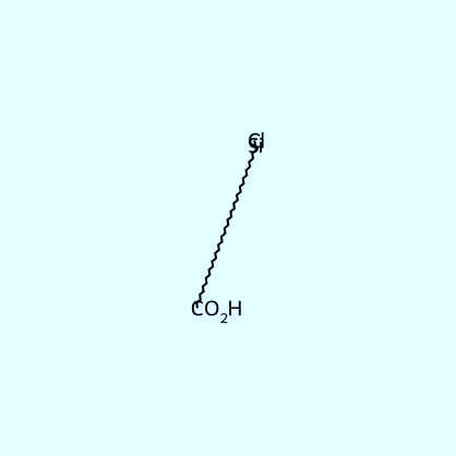 C[Si](C)(Cl)CCCCCCCCCCCCCCCCCCCCCCCCCCCCCCCCCCCCCCC(=O)O